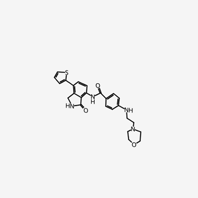 O=C(Nc1ccc(-c2cccs2)c2c1C(=O)NC2)c1ccc(NCCN2CCOCC2)cc1